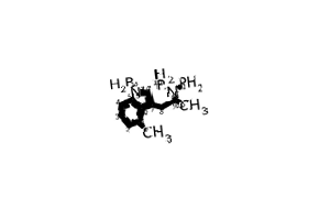 Cc1cccc2c1c(CC(C)N(P)P)cn2P